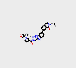 Cn1ccc2ccc(-c3ccc4nc(CNC(=O)c5ccn(C6(C)COC6)c5)[nH]c4c3)cc2c1=O